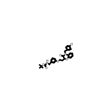 CC(C)(C)OC(=O)NCc1cccc(OCCC2Oc3ccccc3N(Cc3ccc(Cl)cc3)C2=O)c1